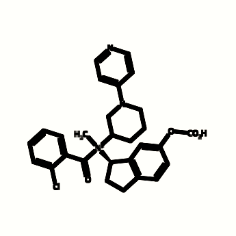 C[N+](C(=O)c1ccccc1Cl)(C1CCCN(c2ccncc2)C1)[C@@H]1CCc2ccc(OC(=O)O)cc21